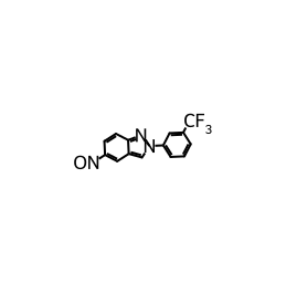 O=Nc1ccc2nn(-c3cccc(C(F)(F)F)c3)cc2c1